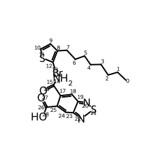 CCCCCCCCc1ccsc1Br.NC(=O)c1cc2nsnc2cc1C(=O)O